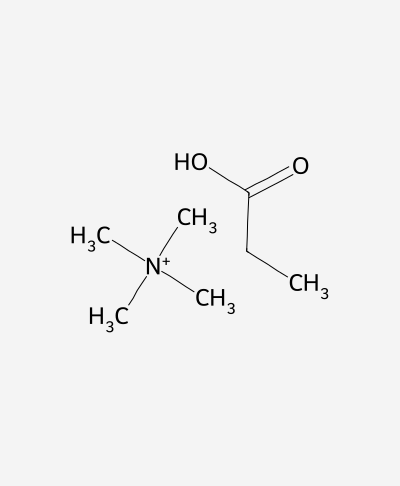 CCC(=O)O.C[N+](C)(C)C